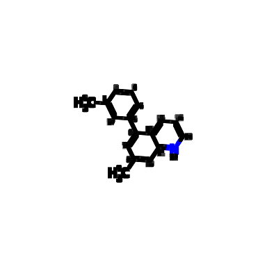 Cc1cccc(-c2cc(C)cc3ncccc23)c1